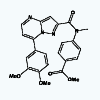 COC(=O)c1ccc(N(C)C(=O)c2cc3nccc(-c4ccc(OC)c(OC)c4)n3n2)cc1